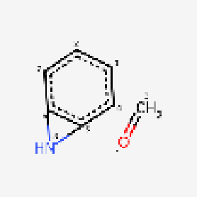 C=O.c1ccc2c(c1)N2